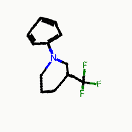 FC(F)(F)C1CCCN(c2ccccc2)C1